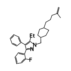 C=C(C)CCCC1CCC(Cn2nc(-c3ccccc3F)c(-c3ccccc3)c2CC)CC1